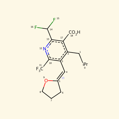 CC(C)Cc1c(/C=C2/CCCO2)c(C(F)(F)F)nc(C(F)F)c1C(=O)O